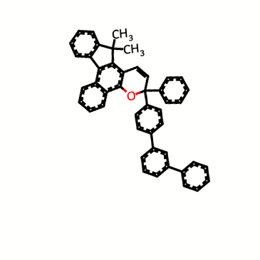 CC1(C)c2ccccc2-c2c1c1c(c3ccccc23)OC(c2ccccc2)(c2ccc(-c3cccc(-c4ccccc4)c3)cc2)C=C1